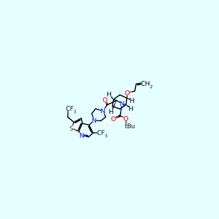 C=CCO[C@H]1C[C@H]2CC[C@@H]1N(C(=O)OC(C)(C)C)[C@@H]2C(=O)N1CCN(c2c(C(F)(F)F)cnc3sc(CC(F)(F)F)cc23)CC1